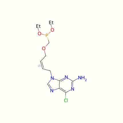 CCOP(COC/C=C\Cn1cnc2c(Cl)nc(N)nc21)OCC